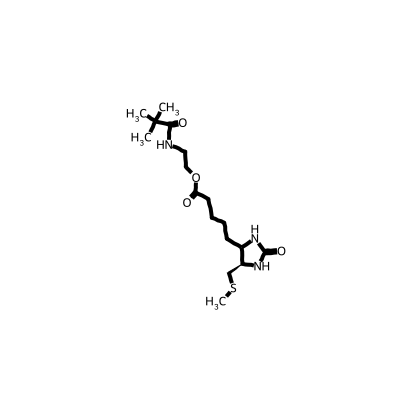 CSC[C@@H]1NC(=O)NC1CCCCC(=O)OCCNC(=O)C(C)(C)C